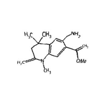 C=C(OC)c1cc2c(cc1N)C(C)(C)CC(=C)N2C